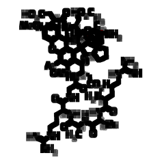 CC[C@H](C)[C@H](NC(=O)[C@@H](N)CCCNC(=N)N)C(=O)N[C@@H](C)C(=O)N[C@@H](CCCNC(=N)N)C(=O)NCC(=O)N[C@@H](CC(=O)O)C(=O)c1c(OC)c(C(C)=O)c2c(c1C(NC(=O)[C@H](CC(=O)O)NC(=O)[C@@H](N)CC(=O)O)(C(=O)[C@@H]1CCCN1C(=O)[C@H](C)N)c1ccccc1)C(C)(C)c1ccc(OC)cc1O2